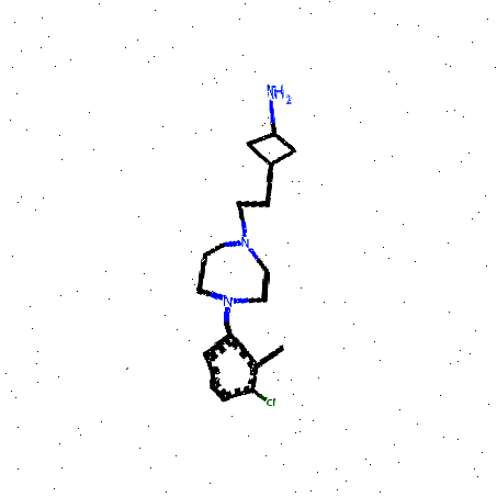 Cc1c(Cl)cccc1N1CCN(CCC2CC(N)C2)CC1